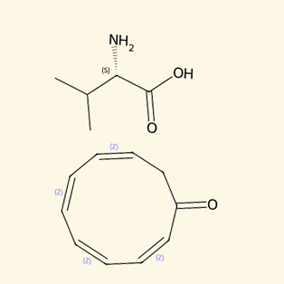 CC(C)[C@H](N)C(=O)O.O=C1\C=C/C=C\C=C/C=C\C1